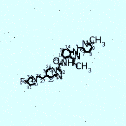 CCc1nn(Cc2cccc(C)n2)c2cccc(NC(=O)c3cnc4cc(CCN5CCC(F)C5)ccn34)c12